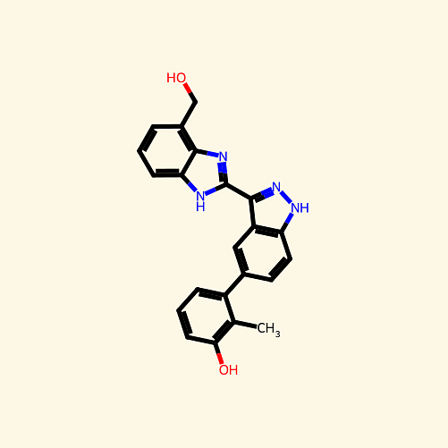 Cc1c(O)cccc1-c1ccc2[nH]nc(-c3nc4c(CO)cccc4[nH]3)c2c1